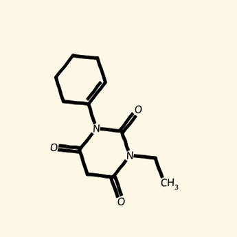 CCN1C(=O)CC(=O)N(C2=CCCCC2)C1=O